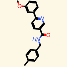 COc1cccc(-c2ccc(C(=O)NCc3ccc(C)cc3)cn2)c1